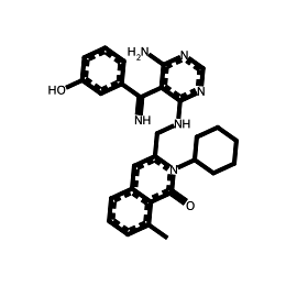 Cc1cccc2cc(CNc3ncnc(N)c3C(=N)c3cccc(O)c3)n(C3CCCCC3)c(=O)c12